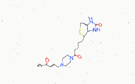 CC(C)C(=O)/C=C/CN1CCN(C(=O)CCCCC2SCC3NC(=O)NC32)CC1